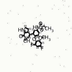 CCS(=O)(=O)Nc1cc(OC)c(Oc2ccc(F)cc2F)c(-c2cn(C)c(=O)c3[nH]ccc23)c1